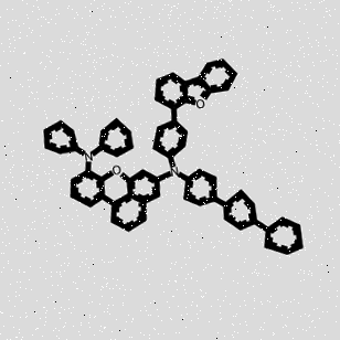 c1ccc(-c2ccc(-c3ccc(N(c4ccc(-c5cccc6c5oc5ccccc56)cc4)c4cc5c6c(cccc6c4)-c4cccc(N(c6ccccc6)c6ccccc6)c4O5)cc3)cc2)cc1